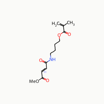 C=C(C)C(=O)OCCCCNC(=O)/C=C/C(=O)OC